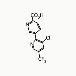 O=C(O)c1ccc(-c2ncc(C(F)(F)F)cc2Cl)cn1